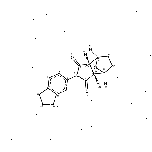 O=C1[C@@H]2[C@H](C(=O)N1c1ccc3c(c1)CCC3)[C@H]1CC[C@@H]2O1